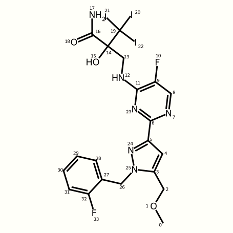 COCc1cc(-c2ncc(F)c(NCC(O)(C(N)=O)C(I)(I)I)n2)nn1Cc1ccccc1F